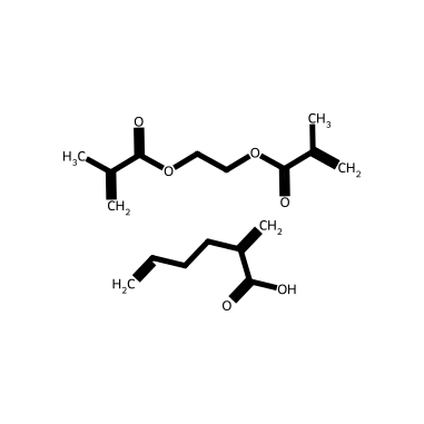 C=C(C)C(=O)OCCOC(=O)C(=C)C.C=CCCC(=C)C(=O)O